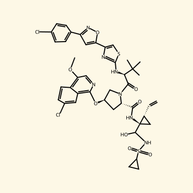 C=C[C@@H]1C[C@]1(NC(=O)[C@@H]1C[C@@H](Oc2ncc(OC)c3ccc(Cl)cc23)CN1C(=O)[C@@H](Nc1nc(-c2cc(-c3ccc(Cl)cc3)no2)cs1)C(C)(C)C)C(O)NS(=O)(=O)C1CC1